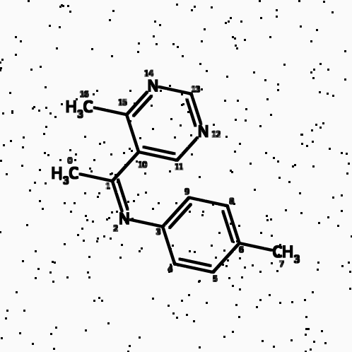 CC(=Nc1ccc(C)cc1)c1cncnc1C